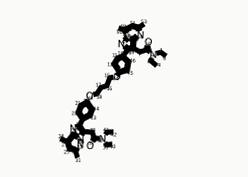 CCN(CC)C(=O)Cc1c(-c2ccc(OCCCCOc3ccc(-c4nc5c(C)cc(C)nn5c4CC(=O)N(CC)CC)cc3)cc2)nn2c(C)cc(C)nc12